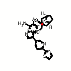 CC(=O)c1c([C@@H]2C[C@H]3CC[C@@H](C2)N3C(=O)CO)nc2c(-c3ccc(-c4nccs4)nc3)cnn2c1N